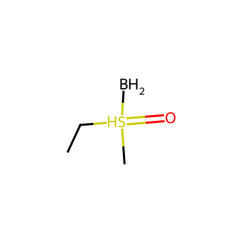 B[SH](C)(=O)CC